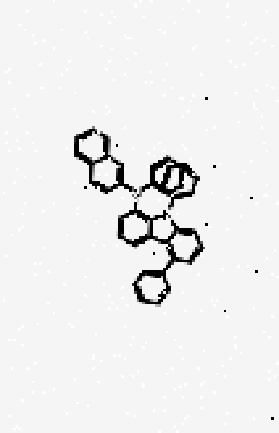 c1ccc(-c2cccc3c2c2cccc(N(c4ccccc4)c4ccc5ccccc5c4)c2n3-c2ccccc2)cc1